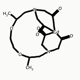 CC1CN2C[C](=O)[Gd]3([C](=O)C2)[C](=O)CN(C[C]3=O)CC(C)OCCO1